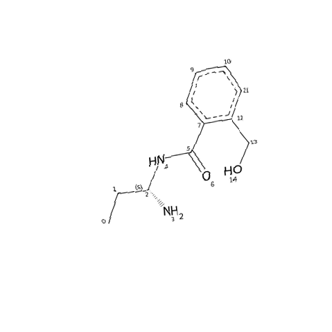 CC[C@@H](N)NC(=O)c1ccccc1CO